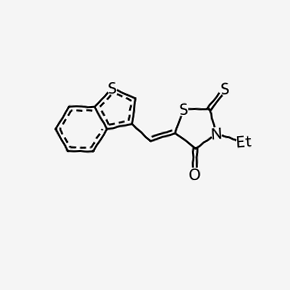 CCN1C(=O)/C(=C/c2csc3ccccc23)SC1=S